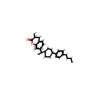 CCCCc1ccc(C2CCC(C(C)c3ccc4c(c3F)OC(=O)C(C)C4)CC2)cc1